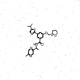 Cc1cnc(C(C)NC(=O)c2cc(OC[C@H]3CCCO3)cc(-c3ncc(C(C)C)s3)c2)cn1